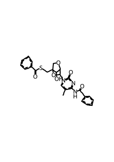 Cc1cn(C2OC3(CSC(=O)c4ccccc4)COC2C3O)c(=O)nc1NC(=O)c1ccccc1